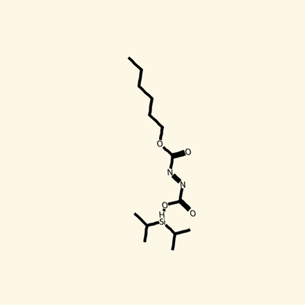 CCCCCCOC(=O)N=NC(=O)O[SiH](C(C)C)C(C)C